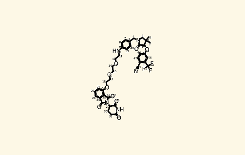 CC1(C)CN(Cc2ccc(NCCOCCOCCOc3cccc4c3C(=O)N(C3CCC(=O)NC3=O)C4=O)cc2)C(=O)C1Oc1ccc(C#N)c(C(F)(F)F)c1